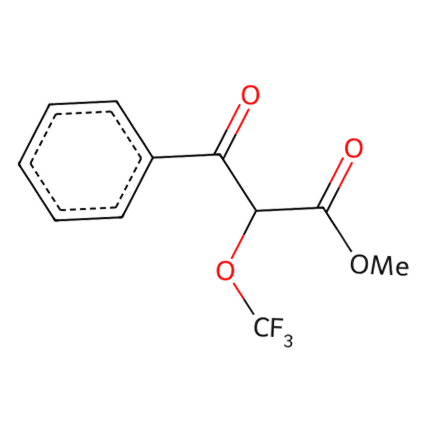 COC(=O)C(OC(F)(F)F)C(=O)c1ccccc1